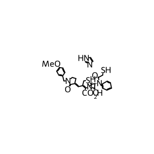 COc1ccc(CN2CC/C(=C\C3=C(C(=O)O)N4C(=O)[C@@H](N(C(=O)CS)c5ccccc5)[C@H]4SC3)C2=O)cc1.c1c[nH]cn1